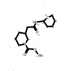 CC(C)(C)OC(=O)N1CCCC(CC(=O)NC2CC[CH]CC2)C1